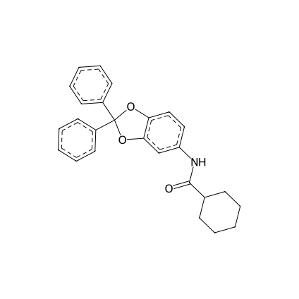 O=C(Nc1ccc2c(c1)OC(c1ccccc1)(c1ccccc1)O2)C1CCCCC1